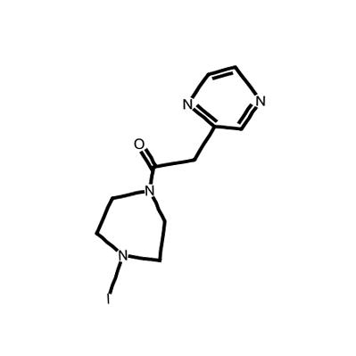 O=C(Cc1cnccn1)N1CCN(I)CC1